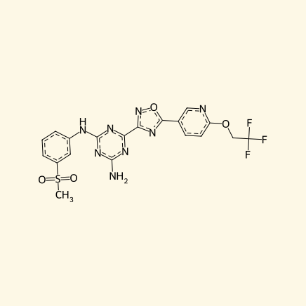 CS(=O)(=O)c1cccc(Nc2nc(N)nc(-c3noc(-c4ccc(OCC(F)(F)F)nc4)n3)n2)c1